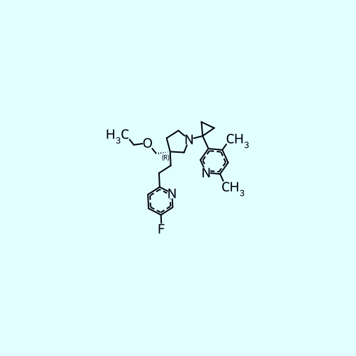 CCOC[C@]1(CCc2ccc(F)cn2)CCN(C2(c3cnc(C)cc3C)CC2)C1